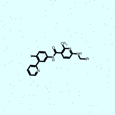 Cc1nc(NCC(C)C)ccc1C(=O)Nc1ccc(I)c(-c2ccccn2)c1